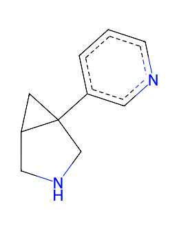 c1cncc(C23CNCC2C3)c1